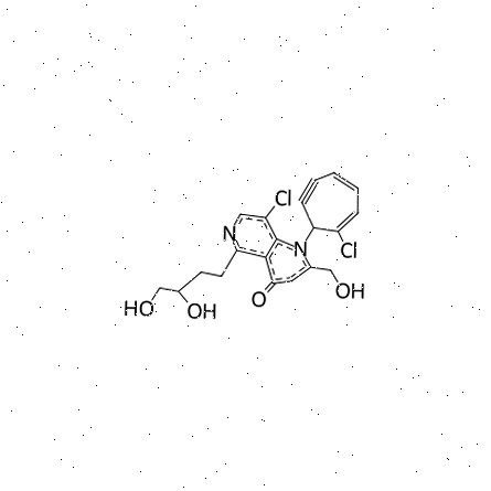 O=c1cc(CO)n(C2C#CC=CC=C2Cl)c2c(Cl)cnc(CCC(O)CO)c12